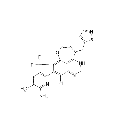 Cc1cc(C(F)(F)F)c(-c2cc3c4c(c2Cl)=NCNC=4N(Cc2ccns2)C=CO3)nc1N